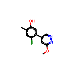 COc1cc(-c2cc(O)c(C)cc2F)cnn1